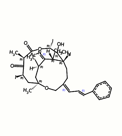 CC(=O)/N=C1\[C@H](C)C[C@]2(C)C[C@@H](I)C(=O)[C@@H](C)C(=O)O[C@H](I)[C@@](C)(O)[C@H](CC/C(=C\C=C\c3ccccc3)CO2)[C@H]1C